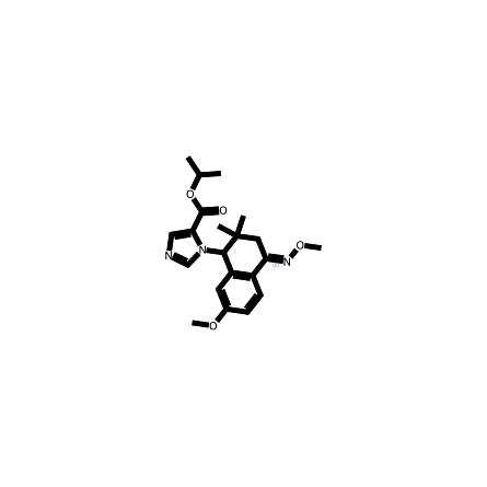 CO/N=C1\CC(C)(C)C(n2cncc2C(=O)OC(C)C)c2cc(OC)ccc21